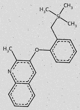 Cc1nc2ccccc2cc1Oc1ccccc1C[Si](C)(C)C